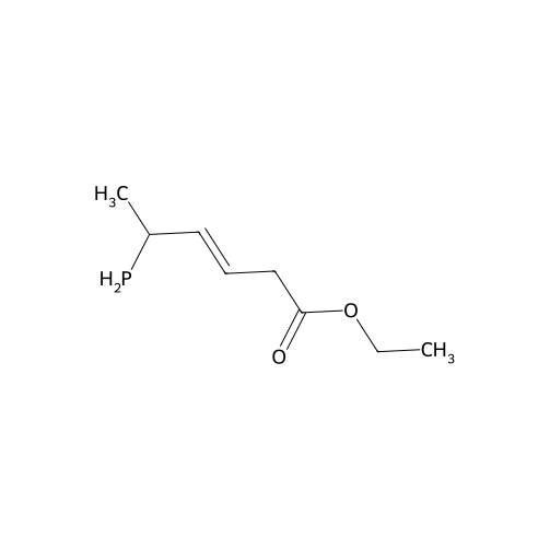 CCOC(=O)CC=CC(C)P